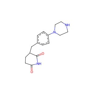 O=C1CCC(Cc2ccc(N3CCNCC3)cc2)C(=O)N1